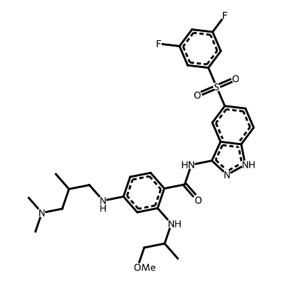 COCC(C)Nc1cc(NCC(C)CN(C)C)ccc1C(=O)Nc1n[nH]c2ccc(S(=O)(=O)c3cc(F)cc(F)c3)cc12